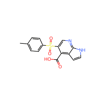 Cc1ccc(S(=O)(=O)c2cnc3[nH]ccc3c2C(=O)O)cc1